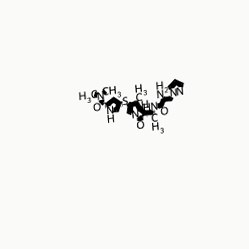 C[C@@H](NC(=O)C(N)Cn1cccn1)[C@H]1C(=O)N2C=C(S[C@@H]3CN[C@H](C(=O)N(C)C)C3)[C@H](C)[C@H]12